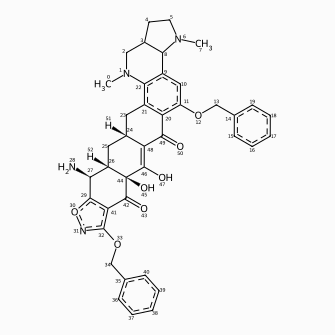 CN1CC2CCN(C)C2c2cc(OCc3ccccc3)c3c(c21)C[C@H]1C[C@H]2[C@H](N)c4onc(OCc5ccccc5)c4C(=O)[C@@]2(O)C(O)=C1C3=O